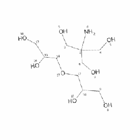 NC(CO)(CO)CO.OCC(O)COCC(O)CO